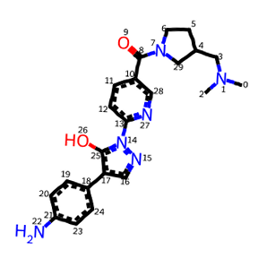 CN(C)CC1CCN(C(=O)c2ccc(-n3ncc(-c4ccc(N)cc4)c3O)nc2)C1